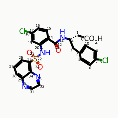 O=C(O)C[C@H](Cc1ccc(Cl)cc1)NC(=O)c1ccc(Cl)cc1NS(=O)(=O)c1cccc2nccnc12